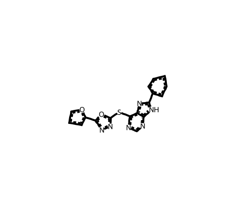 c1ccc(-c2nc3c(Sc4nnc(-c5ccco5)o4)ncnc3[nH]2)cc1